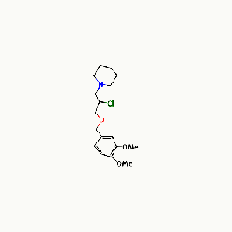 COc1ccc(COCC(Cl)CN2CCCCC2)cc1OC